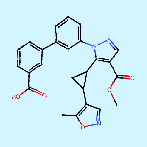 COC(=O)c1cnn(-c2cccc(-c3cccc(C(=O)O)c3)c2)c1C1CC1c1cnoc1C